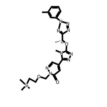 Cc1cccc(-n2nnc([C@@H](C)Oc3nnc(-c4cnn(COCC[Si](C)(C)C)c(=O)c4)n3C)n2)c1